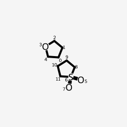 C1CCOC1.O=S1(=O)CCCC1